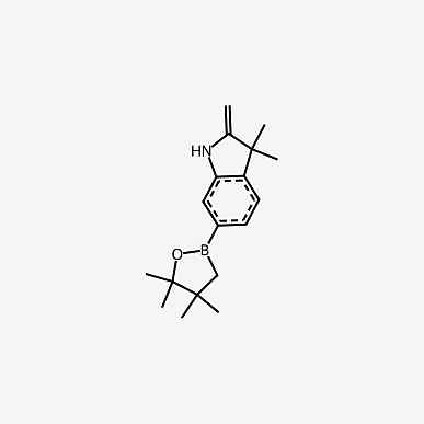 C=C1Nc2cc(B3CC(C)(C)C(C)(C)O3)ccc2C1(C)C